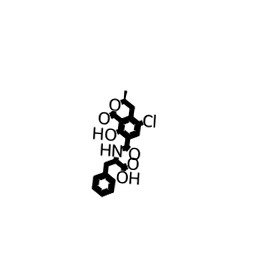 C[C@H]1Cc2c(Cl)cc(C(=O)NC(Cc3ccccc3)C(=O)O)c(O)c2C(=O)O1